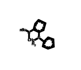 CCCCN(C)c1ccccc1N(C)c1ccccc1